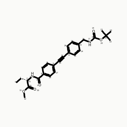 CC[C@H](NC(=O)c1ccc(C#Cc2ccc(CNC(=O)OC(C)(C)C)cc2)cc1)C(=O)OC